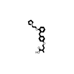 CC(CCOc1ccc(Cc2[c]cccc2OCCN2CCCC2)cc1)C(=O)O